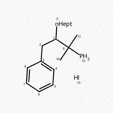 CCCCCCCC(Cc1ccccc1)C(C)(C)P.I